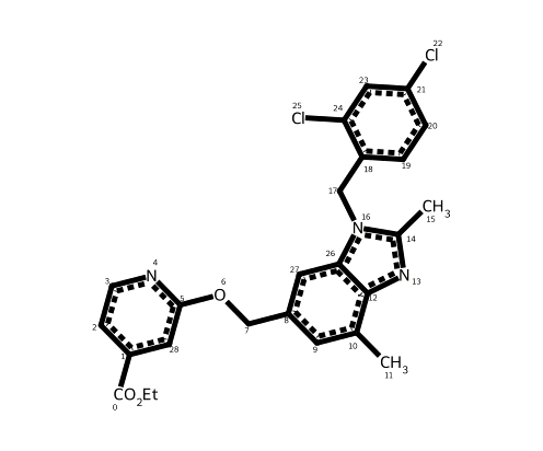 CCOC(=O)c1ccnc(OCc2cc(C)c3nc(C)n(Cc4ccc(Cl)cc4Cl)c3c2)c1